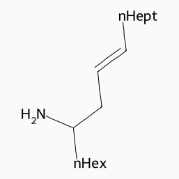 [CH2]CCCCCCC=CCC(N)CCCCCC